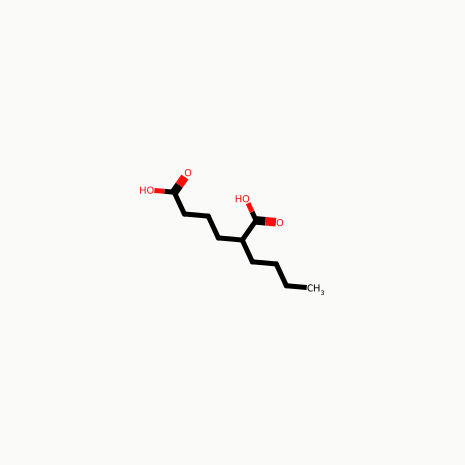 CCCCC(CCCC(=O)O)C(=O)O